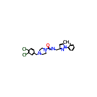 Cc1cc(CNCC(=O)N2CCN(Cc3ccc(Cl)c(Cl)c3)CC2)nn1-c1ccccc1